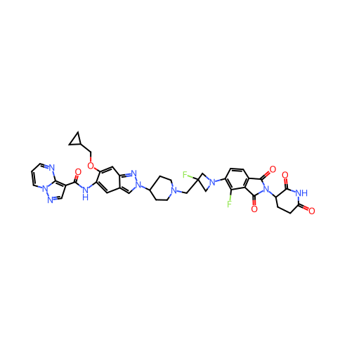 O=C1CCC(N2C(=O)c3ccc(N4CC(F)(CN5CCC(n6cc7cc(NC(=O)c8cnn9cccnc89)c(OCC8CC8)cc7n6)CC5)C4)c(F)c3C2=O)C(=O)N1